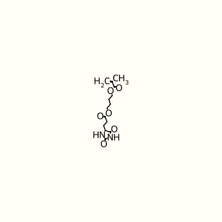 C=C(C)C(=O)OCCCCOC(=O)CCC1NC(=O)NC1=O